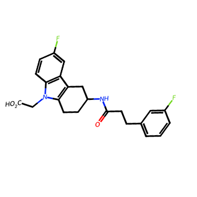 O=C(O)Cn1c2c(c3cc(F)ccc31)CC(NC(=O)CCc1cccc(F)c1)CC2